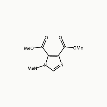 CNn1cnc(C(=O)OC)c1C(=O)OC